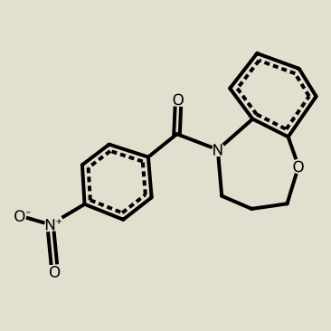 O=C(c1ccc([N+](=O)[O-])cc1)N1CCCOc2ccccc21